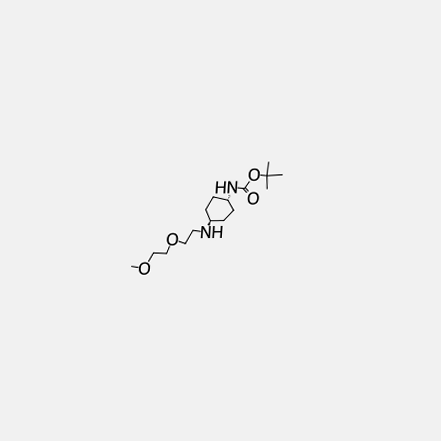 COCCOCCN[C@H]1CC[C@H](NC(=O)OC(C)(C)C)CC1